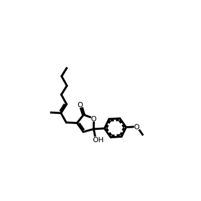 CCCCC=C(C)CC1=CC(O)(c2ccc(OC)cc2)OC1=O